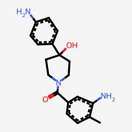 Cc1ccc(C(=O)N2CCC(O)(c3ccc(N)cc3)CC2)cc1N